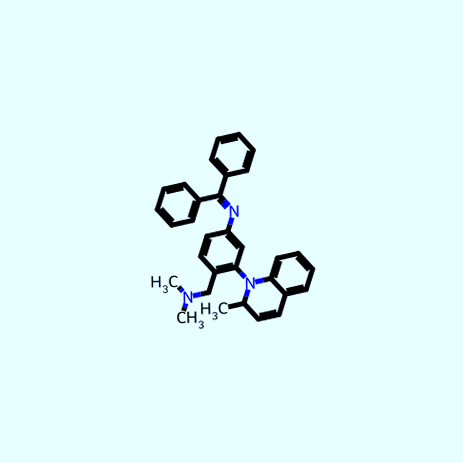 CC1C=Cc2ccccc2N1c1cc(N=C(c2ccccc2)c2ccccc2)ccc1CN(C)C